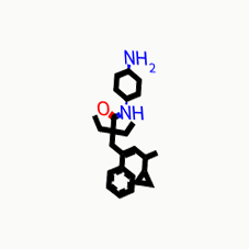 CCC(CC)(C/C(=C/C(C)C1CC1)c1ccccc1)C(=O)N[C@H]1CC[C@H](N)CC1